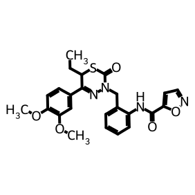 CCC1SC(=O)N(Cc2ccccc2NC(=O)c2ccno2)N=C1c1ccc(OC)c(OC)c1